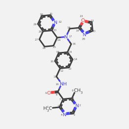 Cc1ncnc(C)c1C(=O)NCc1ccc(CN(Cc2ncco2)C2CCCc3cccnc32)cc1